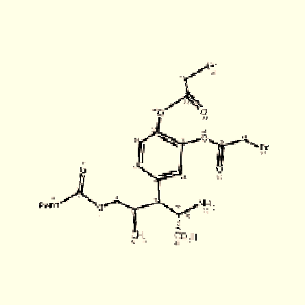 CCCC(C)C(=O)OCC(C)C(c1ccc(OC(=O)CC(C)C)c(OC(=O)CC(C)C)c1)[C@H](N)C(=O)O